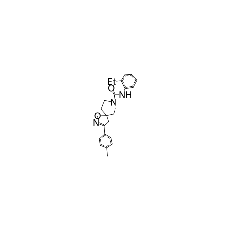 CCc1ccccc1NC(=O)N1CCC2(CC1)CC(c1ccc(C)cc1)=NO2